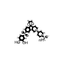 CCC[S+]([O-])N1CCC(N2CCC(C3(c4ccc(S(=O)(=O)c5ccc(O)c(O)c5)cc4)OCCO3)CC2)CC1